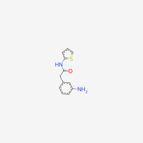 Nc1cccc(CC(=O)Nc2cccs2)c1